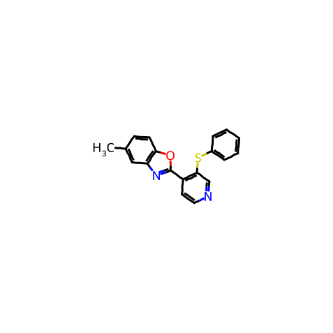 Cc1ccc2oc(-c3ccncc3Sc3ccccc3)nc2c1